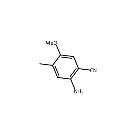 COc1cc(C#N)c(N)cc1C